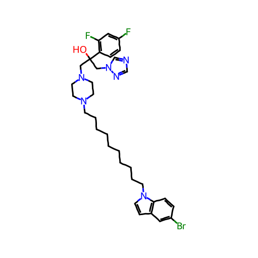 OC(CN1CCN(CCCCCCCCCCn2ccc3cc(Br)ccc32)CC1)(Cn1cncn1)c1ccc(F)cc1F